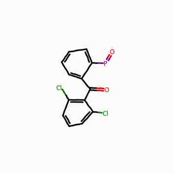 O=Pc1ccccc1C(=O)c1c(Cl)cccc1Cl